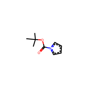 CC(C)(C)OC(=O)n1[c]ccc1